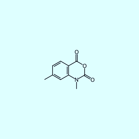 Cc1ccc2c(=O)oc(=O)n(C)c2c1